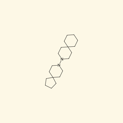 C1CCC2(CC1)CCN(N1CCC3(CCCC3)CC1)CC2